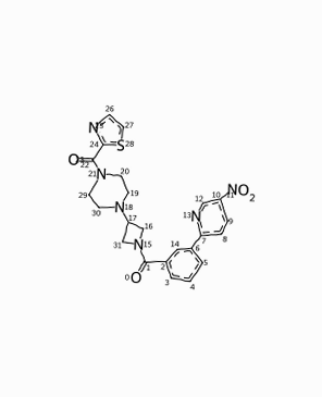 O=C(c1cccc(-c2ccc([N+](=O)[O-])cn2)c1)N1CC(N2CCN(C(=O)c3nccs3)CC2)C1